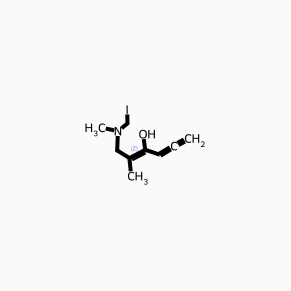 C=C=C/C(O)=C(\C)CN(C)CI